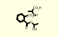 CC(O)C(=O)O.CC(O)OC(=O)c1ccccc1C(=O)O